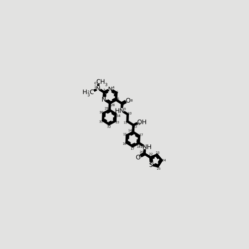 CN(C)c1ncc(C(=O)NCCC(O)c2cccc(NC(=O)c3cccs3)c2)c(-c2ccccc2)n1